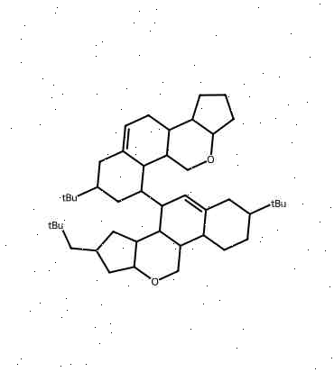 CC(C)(C)CC1CC2OCC3C4CCC(C(C)(C)C)CC4=CC(C4CC(C(C)(C)C)CC5=CCC6C7CCCC7OCC6C54)C3C2C1